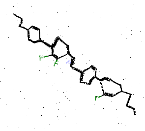 CCCCC1C=C(F)C(c2ccc(/C=C/C3=CCC(C4C=CC(CCC)=CC4)C(F)=C3F)cc2)=CC1